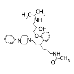 CC(=O)NCCCC(CCN1CCN(c2ccccc2)CC1)c1ccccc1OC[C@@H](O)CNC(C)C